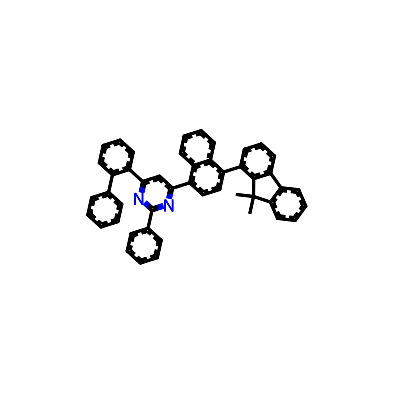 CC1(C)c2ccccc2-c2cccc(-c3ccc(-c4cc(-c5ccccc5-c5ccccc5)nc(-c5ccccc5)n4)c4ccccc34)c21